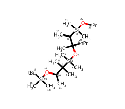 CCCC(C)(O[Si](C)(C)C(C)(C)C(C)O[Si](C)(C)C(C)(C)C)C(C)[Si](C)(C)OC(C)C